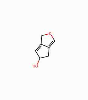 OC1C=C2COC=C2C1